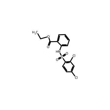 CCOC(=O)c1ccccc1NS(=O)(=O)c1ccc(Cl)cc1Cl